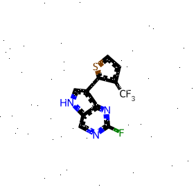 Fc1ncc2[nH]cc(-c3sccc3C(F)(F)F)c2n1